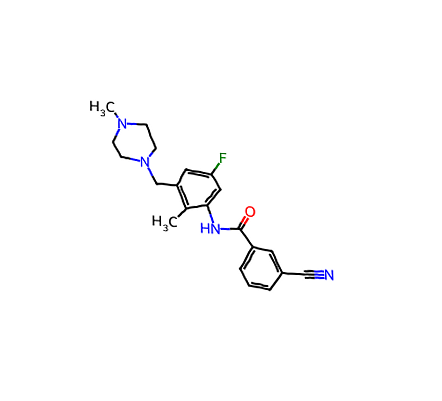 Cc1c(CN2CCN(C)CC2)cc(F)cc1NC(=O)c1cccc(C#N)c1